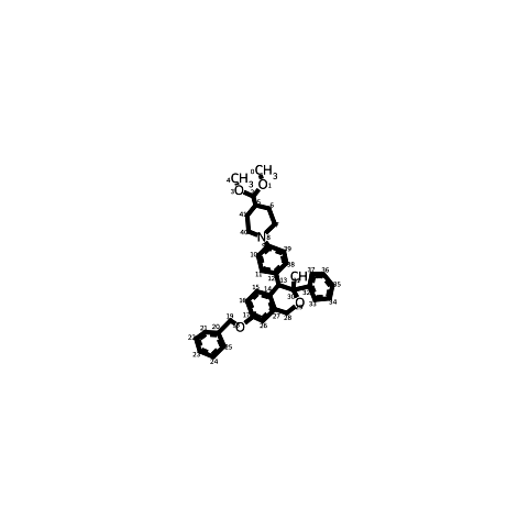 COC(OC)C1CCN(c2ccc(C3c4ccc(OCc5ccccc5)cc4COC3(C)c3ccccc3)cc2)CC1